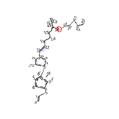 C=CCc1ccc(-c2ccc(/C=C/CCCC(C)OCCCCC)cc2)cc1